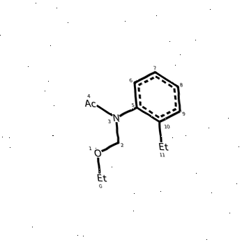 CCOCN(C(C)=O)c1ccccc1CC